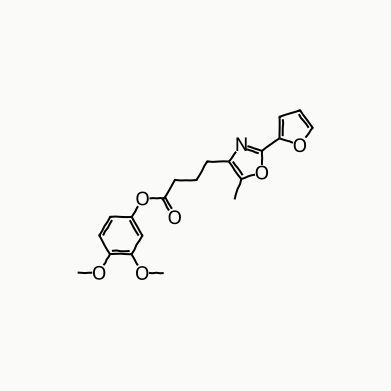 COc1ccc(OC(=O)CCCc2nc(-c3ccco3)oc2C)cc1OC